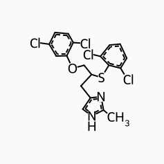 Cc1nc(CC(COc2cc(Cl)ccc2Cl)Sc2c(Cl)cccc2Cl)c[nH]1